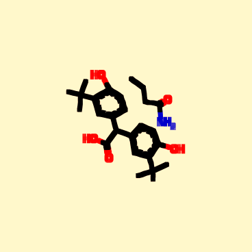 CC(C)(C)c1cc(C(C(=O)O)c2ccc(O)c(C(C)(C)C)c2)ccc1O.CCCC(N)=O